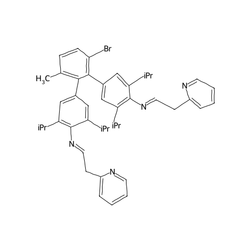 Cc1ccc(Br)c(-c2cc(C(C)C)c(N=CCc3ccccn3)c(C(C)C)c2)c1-c1cc(C(C)C)c(N=CCc2ccccn2)c(C(C)C)c1